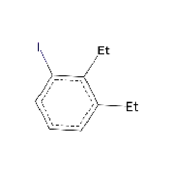 CCc1cccc(I)c1CC